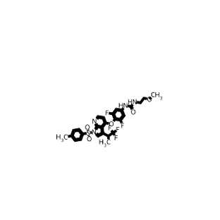 COCCNC(=O)Nc1cc(F)c(Oc2ccnc3c2c(C(C)C(F)(F)F)cn3S(=O)(=O)c2ccc(C)cc2)c(F)c1